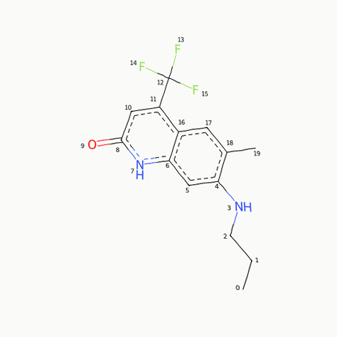 CCCNc1cc2[nH]c(=O)cc(C(F)(F)F)c2cc1C